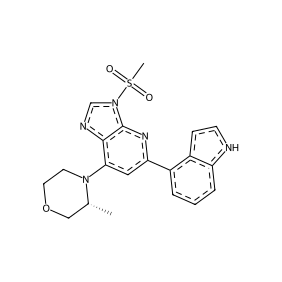 C[C@@H]1COCCN1c1cc(-c2cccc3[nH]ccc23)nc2c1ncn2S(C)(=O)=O